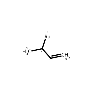 C=C[CH](C)[Ru]